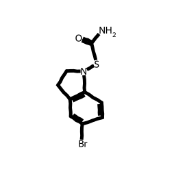 NC(=O)SN1CCc2cc(Br)ccc21